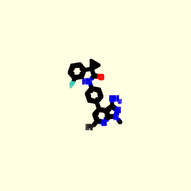 CC(C)c1cc(-c2ccc(NC(=O)C3(c4cccc(F)c4)CC3)cc2)c2c(N)nn(C)c2n1